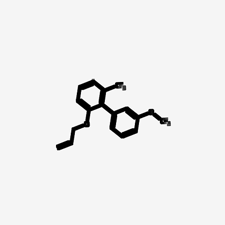 C=CCOc1cc[c]c(C(F)(F)F)c1-c1cccc(OC(F)(F)F)c1